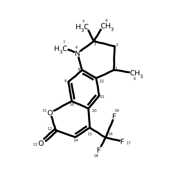 CC1CC(C)(C)N(C)c2cc3oc(=O)cc(C(F)(F)F)c3cc21